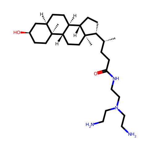 C[C@H](CCC(=O)NCCN(CCN)CCN)[C@H]1CC[C@H]2[C@@H]3CC[C@@H]4C[C@H](O)CC[C@]4(C)[C@H]3CC[C@]12C